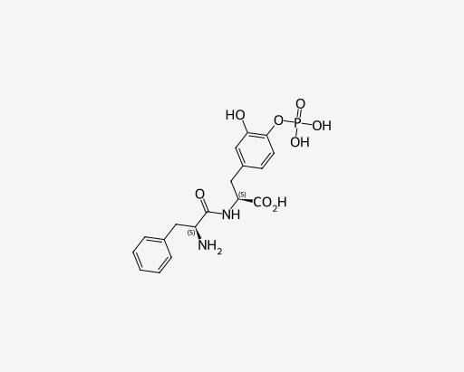 N[C@@H](Cc1ccccc1)C(=O)N[C@@H](Cc1ccc(OP(=O)(O)O)c(O)c1)C(=O)O